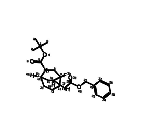 CC(C)(C)OC(=O)N1CC2(F)CCC[C@@H]1C[C@@H]2NC(=O)OCc1ccccc1